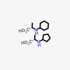 C[C@H](NC1CCCC1)C(=O)O.C[C@H](NC1CCCCC1)C(=O)O